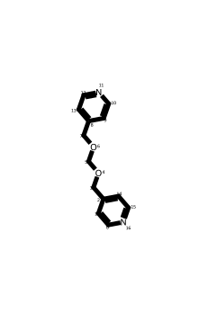 c1cc(COCOCc2ccncc2)ccn1